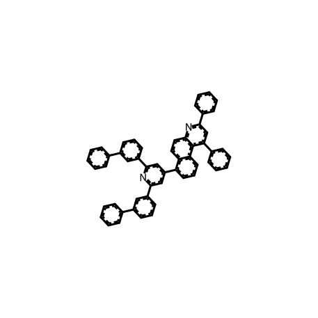 c1ccc(-c2cccc(-c3cc(-c4cccc5c4ccc4nc(-c6ccccc6)cc(-c6ccccc6)c45)cc(-c4cccc(-c5ccccc5)c4)n3)c2)cc1